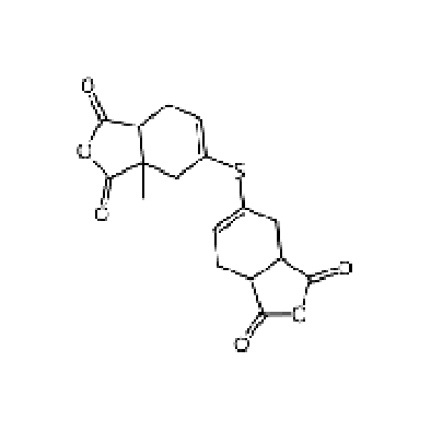 CC12CC(SC3=CCC4C(=O)OC(=O)C4C3)=CCC1C(=O)OC2=O